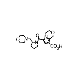 O=C(O)c1cc(C(=O)N2CCCC2CN2CCOCC2)n2c1COCC2